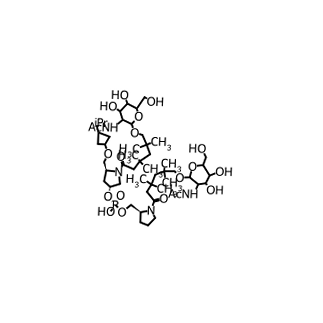 CC(=O)NC1C(OCC(C)(C)CC(C)(C)CC(=O)N2CCC[C@H]2COP(=O)(O)O[C@@H]2C[C@@H](COC3CC(C(C)C)C3)N(C(=O)CC(C)(C)CC(C)(C)COC3OC(CO)C(O)C(O)C3NC(C)=O)C2)OC(CO)C(O)C1O